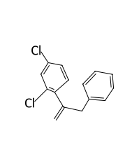 C=C(Cc1ccccc1)c1ccc(Cl)cc1Cl